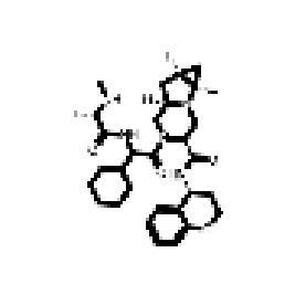 CN[C@@H](C)C(=O)NC(C(=O)N1C[C@H]2C[C@H]3C[C@H]3N2C[C@H]1C(=O)N[C@@H]1CCOc2ccccc21)C1CCCCC1